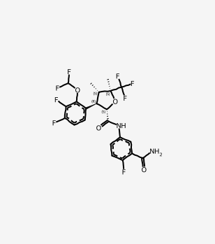 C[C@H]1[C@H](c2ccc(F)c(F)c2OC(F)F)[C@@H](C(=O)Nc2ccc(F)c(C(N)=O)c2)O[C@]1(C)C(F)(F)F